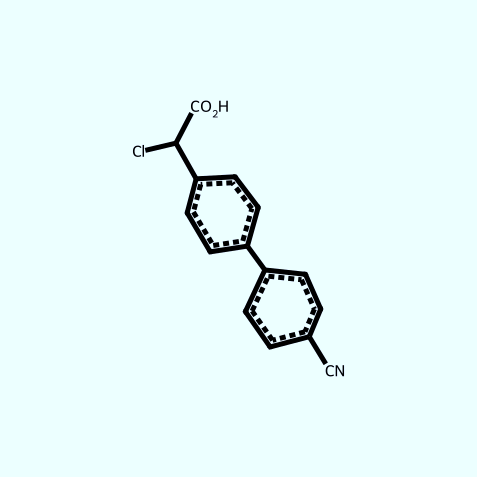 N#Cc1ccc(-c2ccc(C(Cl)C(=O)O)cc2)cc1